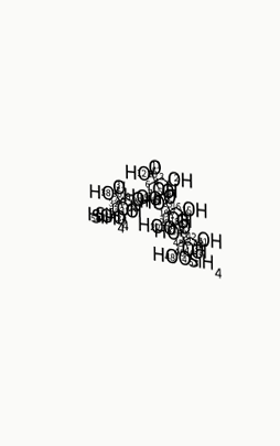 O=C(O)CC(O)(CC(=O)O)C(=O)O.O=C(O)CC(O)(CC(=O)O)C(=O)O.O=C(O)CC(O)(CC(=O)O)C(=O)O.O=C(O)CC(O)(CC(=O)O)C(=O)O.[SiH4].[SiH4].[SiH4]